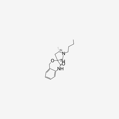 [2H]C1N(CCCC)[C@@H](C)CC12OCc1ccccc1NC2=O